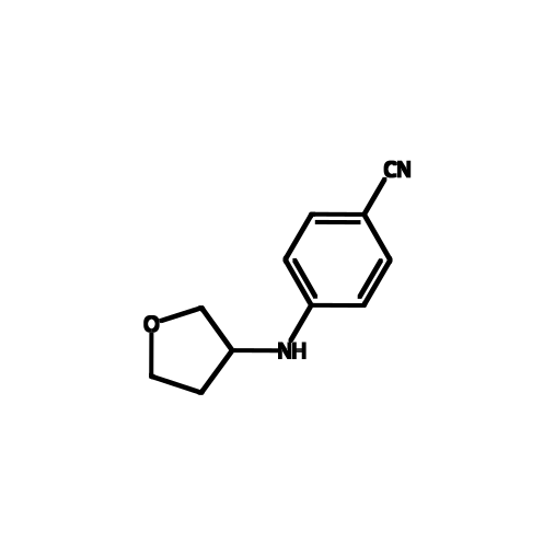 N#Cc1ccc(NC2CCOC2)cc1